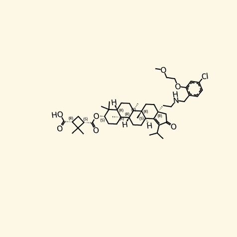 COCCOc1cc(Cl)ccc1CNCC[C@@]12CC[C@]3(C)[C@H](CC[C@@H]4[C@@]5(C)CC[C@H](OC(=O)[C@H]6C[C@@H](C(=O)O)C6(C)C)C(C)(C)[C@@H]5CC[C@]43C)C1=C(C(C)C)C(=O)C2